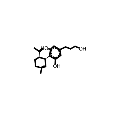 C=C(C)[C@@H]1CCC(C)=C[C@H]1c1c(O)cc(CCCO)cc1O